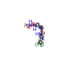 CC(C)(C)CC(=O)NCC(=O)Nc1cccc(-c2csc(SCC(=O)NC3CCN(Cc4ccc(Cl)c(Cl)c4)CC3)n2)c1